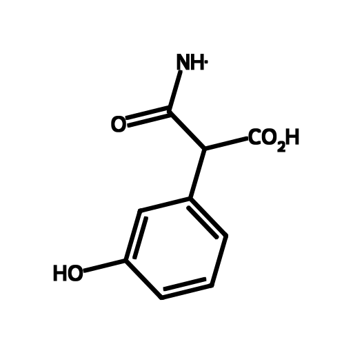 [NH]C(=O)C(C(=O)O)c1cccc(O)c1